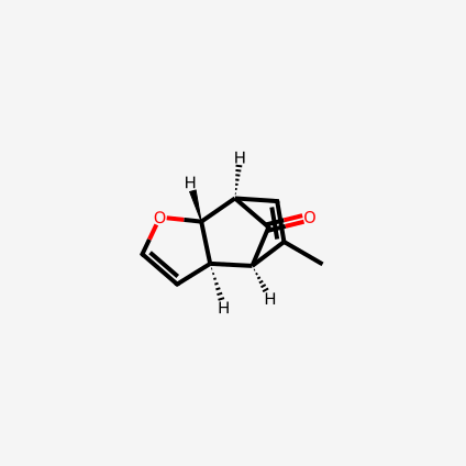 CC1=C[C@H]2C(=O)[C@@H]1[C@H]1C=CO[C@@H]12